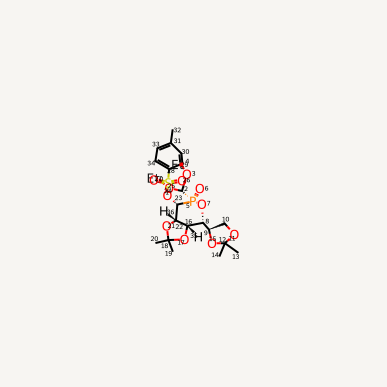 CCOC(OCC)[P@]1(=O)O[C@H]([C@H]2COC(C)(C)O2)[C@@H]2OC(C)(C)O[C@@H]2[C@@H]1OS(=O)(=O)c1ccc(C)cc1